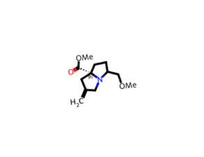 C=C1CN2C(COC)CC[C@]2(C(=O)OC)C1